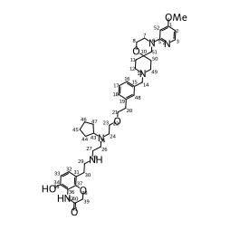 COc1ccnc(N2CCOC3(CCN(Cc4cccc(CCOCCN(CCNCCc5ccc(O)c6c5OCC(=O)N6)C5CCCC5)c4)CC3)C2)c1